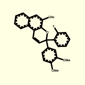 COc1ccc(C2(c3ccccc3F)C=Cc3c(c(OC(C)=O)cc4ccccc34)O2)cc1OC